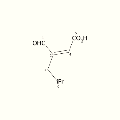 CC(C)CC(C=O)=CC(=O)O